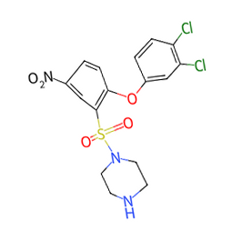 O=[N+]([O-])c1ccc(Oc2ccc(Cl)c(Cl)c2)c(S(=O)(=O)N2CCNCC2)c1